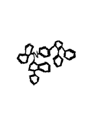 c1ccc(-c2cccc(-c3ccc(N(c4cccc5ccccc45)c4ccc(-c5ccccc5)c5ccccc45)cc3)c2-c2ccccc2)cc1